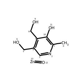 Cc1ncc(CO)c(CO)c1O.[O]=[Zn]